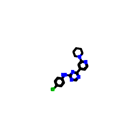 Clc1ccc(Nc2ncnc(-c3ccnc(N4CCCCC4)c3)n2)cc1